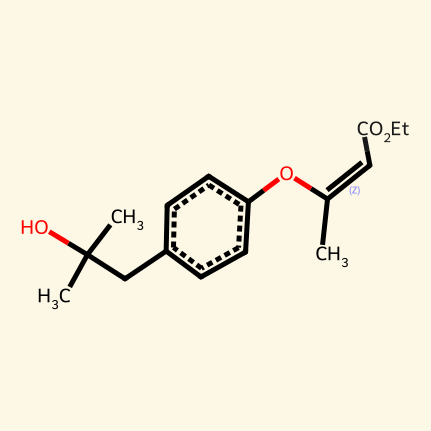 CCOC(=O)/C=C(/C)Oc1ccc(CC(C)(C)O)cc1